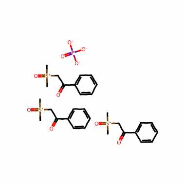 C[S+](C)(=O)CC(=O)c1ccccc1.C[S+](C)(=O)CC(=O)c1ccccc1.C[S+](C)(=O)CC(=O)c1ccccc1.O=P([O-])([O-])[O-]